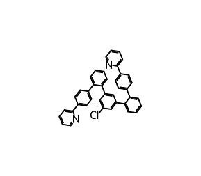 Clc1cc(-c2ccccc2-c2ccc(-c3ccccn3)cc2)cc(-c2ccccc2-c2ccc(-c3ccccn3)cc2)c1